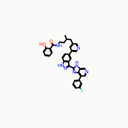 CC(CCNC(=O)c1ccccc1O)Cc1cncc(-c2ccc3[nH]nc(-c4nc5c(-c6cccc(F)c6)cncc5[nH]4)c3c2)c1